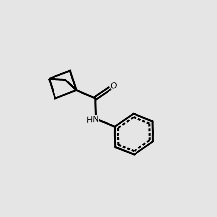 O=C(Nc1ccccc1)C12CC(C1)C2